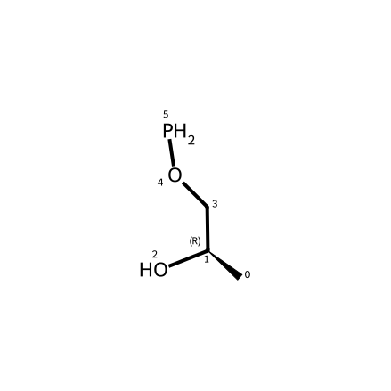 C[C@@H](O)COP